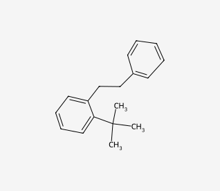 CC(C)(C)c1ccccc1CCc1ccccc1